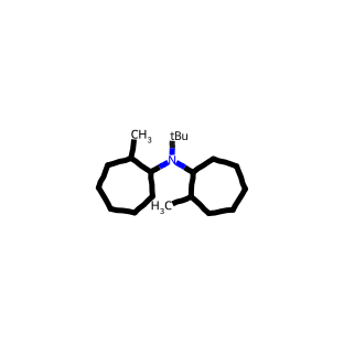 CC1CCCCCC1N(C1CCCCCC1C)C(C)(C)C